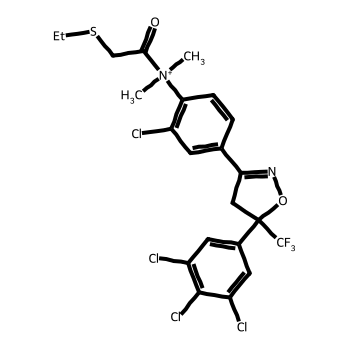 CCSCC(=O)[N+](C)(C)c1ccc(C2=NOC(c3cc(Cl)c(Cl)c(Cl)c3)(C(F)(F)F)C2)cc1Cl